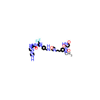 Cn1c(=O)n(C2CCC(=O)NC2=O)c2ccc(CCCN3CCO[C@@H](CNCc4ccc(-n5cc(NC(=O)c6cnn7ccc(N8CCNCC8)nc67)c(C(F)F)n5)cc4)C3)cc21